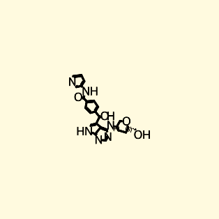 O=C(Nc1cccnc1)c1ccc(C(=O)c2c[nH]c3ncnc(N[C@@H]4CC[C@@H](CO)OC4)c23)cc1